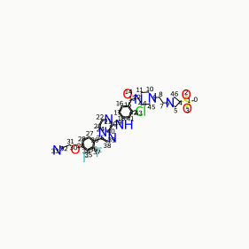 CS(=O)(=O)C1CN(CCN2CCN(C(=O)c3ccc(Nc4nccn5c(-c6ccc(OCC#N)c(F)c6F)cnc45)cc3Cl)CC2)C1